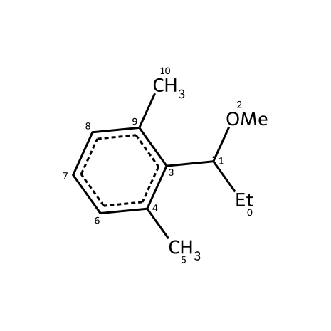 CC[C](OC)c1c(C)cccc1C